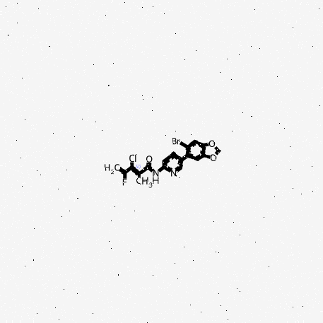 C=C(F)/C(Cl)=C(\C)C(=O)Nc1ccc(-c2cc3c(cc2Br)OCO3)cn1